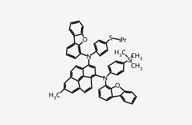 Cc1cc2ccc3c(N(c4ccc(SC(C)C)cc4)c4cccc5c4oc4ccccc45)cc(N(c4ccc([Si](C)(C)C)cc4)c4cccc5c4oc4ccccc45)c4ccc(c1)c2c34